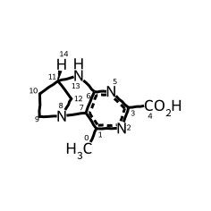 Cc1nc(C(=O)O)nc2c1N1CC[C@@H](C1)N2